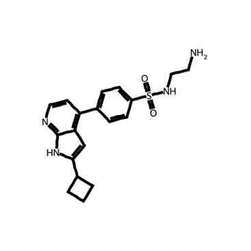 NCCNS(=O)(=O)c1ccc(-c2ccnc3[nH]c(C4CCC4)cc23)cc1